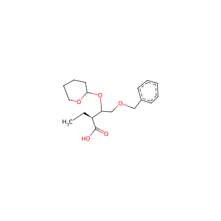 CC[C@H](C(=O)O)C(COCc1ccccc1)OC1CCCCO1